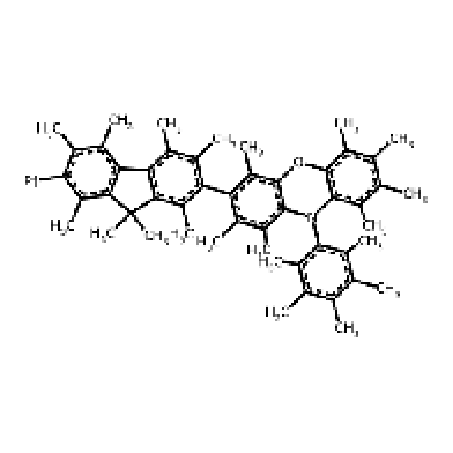 Cc1c(C)c(C)c(N2c3c(C)c(C)c(C)c(C)c3Oc3c(C)c(-c4c(C)c(C)c5c(c4C)C(C)(C)c4c(C)[c]([Rf])c(C)c(C)c4-5)c(C)c(C)c32)c(C)c1C